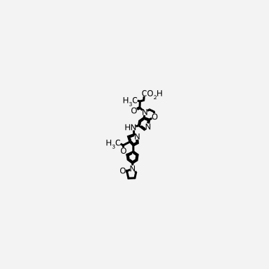 CC(CC(=O)O)C(=O)N1CCOc2ncc(Nc3cc4c(cn3)-c3ccc(N5CCCC5=O)cc3OC4C)cc21